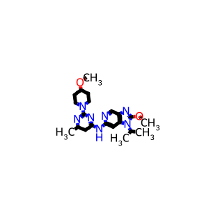 COc1nc2cnc(NC3=NC(N4CCC(OC)CC4)=NC(C)C3)cc2n1C(C)C